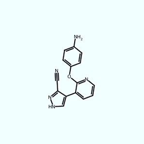 N#Cc1n[nH]cc1-c1cccnc1Oc1ccc(N)cc1